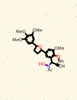 C#CC(c1cc(C2CCC(c3cc(OC)c(OC)c(OC)c3)O2)cc(OC)c1OCCC)N(O)C(C)=O